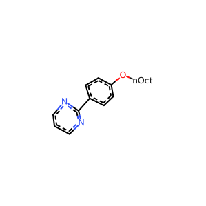 CCCCCCCCOc1ccc(-c2ncccn2)cc1